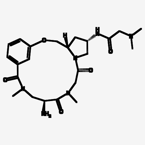 CN(C)CC(=O)N[C@H]1C[C@H]2COc3cccc(c3)C(=O)N(C)C[C@H](N)C(=O)N(C)CC(=O)N2C1